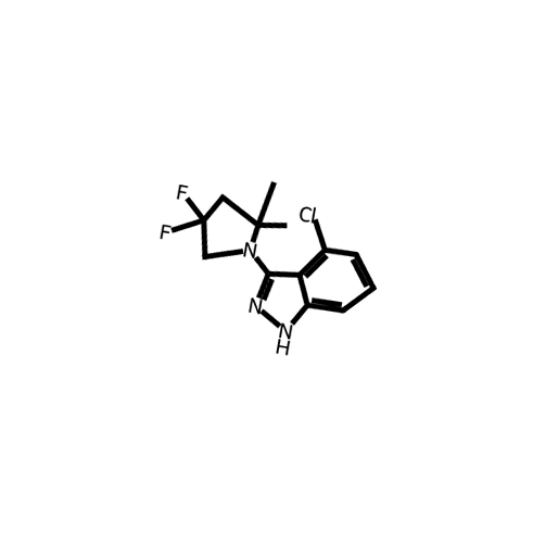 CC1(C)CC(F)(F)CN1c1n[nH]c2cccc(Cl)c12